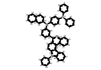 c1ccc(N(c2ccccc2)c2ccc(N(c3cccc(-c4nc5ccccc5c5c4ccc4c5c5ccccc5n4-c4ccccc4)c3)c3ccc4ccccc4c3)cc2)cc1